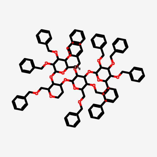 CC1OC(OC2C(COCc3ccccc3)OCCC2OC2OC(COCc3ccccc3)C(OCc3ccccc3)C(OC3OC(COCc4ccccc4)C(OCc4ccccc4)C(OCc4ccccc4)C3OCc3ccccc3)C2OCc2ccccc2)C(OCc2ccccc2)C(OCc2ccccc2)C1OCc1ccccc1